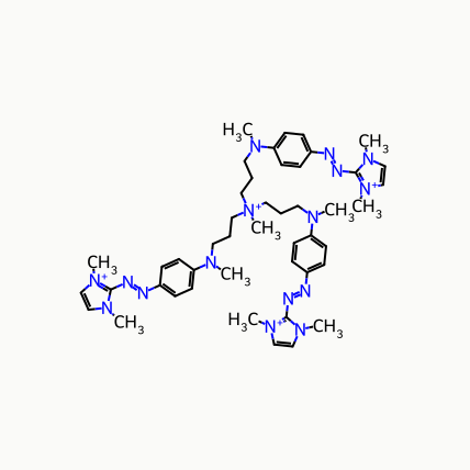 CN(CCC[N+](C)(CCCN(C)c1ccc(N=Nc2n(C)cc[n+]2C)cc1)CCCN(C)c1ccc(N=Nc2n(C)cc[n+]2C)cc1)c1ccc(N=Nc2n(C)cc[n+]2C)cc1